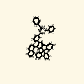 c1ccc(-c2nc(-c3ccccc3)nc(-c3cccc(-c4cc5c(cc4-c4cccc6ccccc46)C(c4ccccc4)(c4ccccc4)c4ccccc4-5)c3)n2)cc1